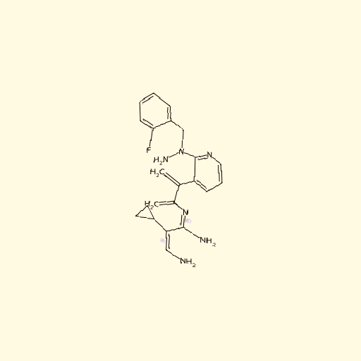 C=C(/N=C(N)\C(=C/N)C1CC1)C(=C)c1cccnc1N(N)Cc1ccccc1F